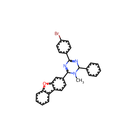 CN1C(c2ccc3c(c2)oc2ccccc23)=NC(c2ccc(Br)cc2)=NC1c1ccccc1